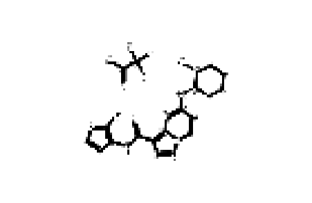 O=C(Nc1ccsc1Br)c1cnn2ccc(N[C@@H]3CCCC[C@@H]3O)nc12.O=C(O)C(F)(F)F